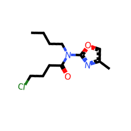 CCCCN(C(=O)CCCCl)c1nc(C)co1